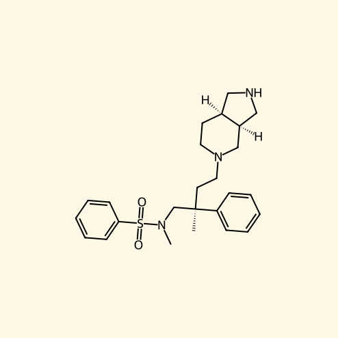 CN(C[C@@](C)(CCN1CC[C@H]2CNC[C@H]2C1)c1ccccc1)S(=O)(=O)c1ccccc1